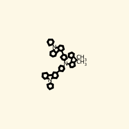 CC1(C)c2ccccc2-c2c(N(c3ccc(-c4ccc5c(c4)c4ccccc4n5-c4ccccc4)cc3)c3ccc(-c4cccc5c4c4ccccc4n5-c4ccccc4)cc3)cccc21